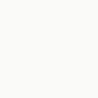 CCC(C)C([SiH3])I